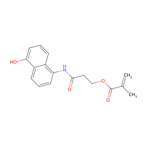 C=C(C)C(=O)OCCC(=O)Nc1cccc2c(O)cccc12